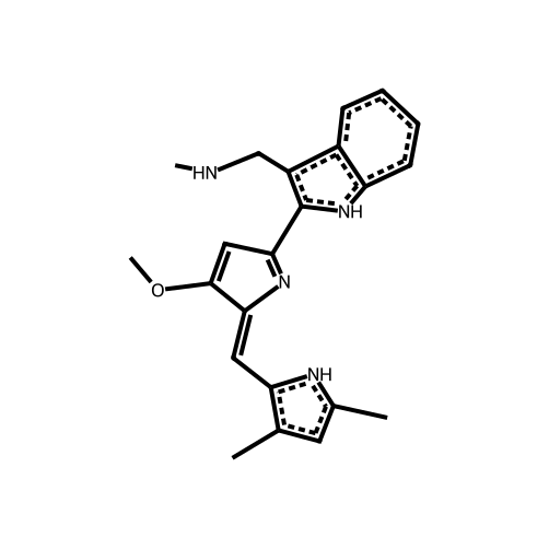 CNCc1c(C2=N/C(=C\c3[nH]c(C)cc3C)C(OC)=C2)[nH]c2ccccc12